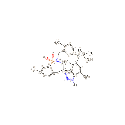 CCn1nnc2c(C)c([C@H](c3ccc(C)c(CN4C[C@@H](C)Cc5ccc(C(F)(F)F)cc5S4(=O)=O)c3)C(C)(C)C(=O)O)cc(OC)c21